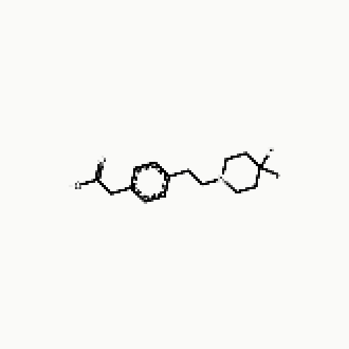 O=C(O)Cc1ccc(CCN2CCC(F)(F)CC2)cc1